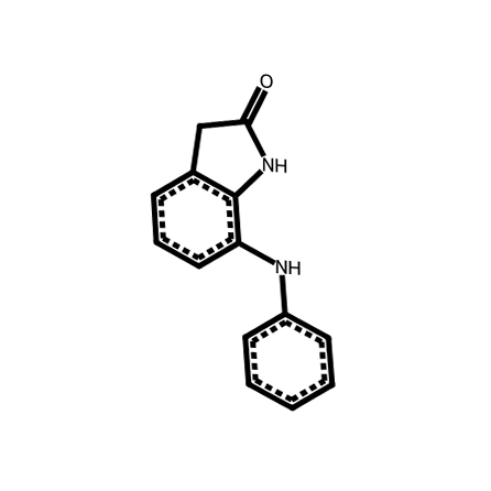 O=C1Cc2cccc(Nc3ccccc3)c2N1